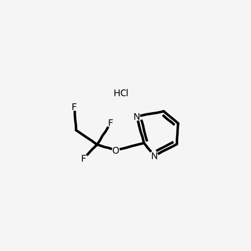 Cl.FCC(F)(F)Oc1ncccn1